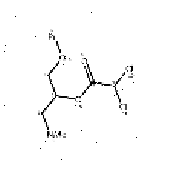 CNCC(COC(C)C)OC(=O)C(Cl)Cl